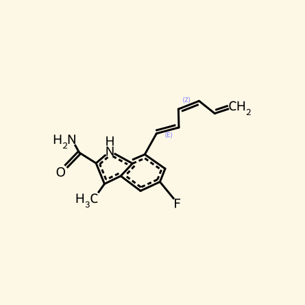 C=C/C=C\C=C\c1cc(F)cc2c(C)c(C(N)=O)[nH]c12